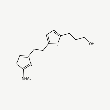 CC(=O)Nc1nc(CCc2ccc(CCCO)s2)cs1